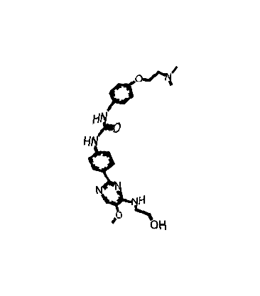 COc1cnc(-c2ccc(NC(=O)Nc3ccc(OCCN(C)C)cc3)cc2)nc1NCCO